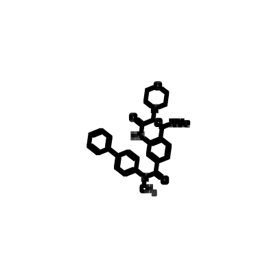 CNC(=O)c1ccc(C(=O)N(C)c2ccc(-c3ccccc3)cc2)cc1NC(=O)CN1CCOCC1